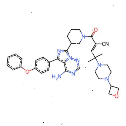 CC(C)(C=C(C#N)C(=O)N1CCCC(c2nc(-c3ccc(Oc4ccccc4)cc3)c3c(N)ncnn23)C1)N1CCN(C2COC2)CC1